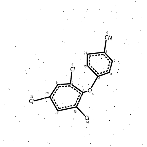 N#Cc1ccc(Oc2c(Cl)cc(Cl)cc2Cl)cc1